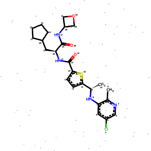 Cc1ncc(Cl)cc1N[C@@H](C)c1ccc(C(=O)N[C@@H](CC2CCCC2)C(=O)NC2COC2)s1